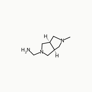 CN1C[C@@H]2CN(CN)C[C@@H]2C1